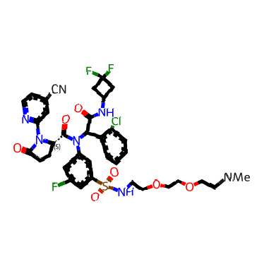 CNCCOCCOCCNS(=O)(=O)c1cc(F)cc(N(C(=O)[C@@H]2CCC(=O)N2c2cc(C#N)ccn2)C(C(=O)NC2CC(F)(F)C2)c2ccccc2Cl)c1